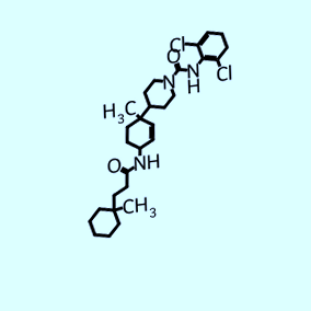 CC1(CCC(=O)NC2C=CC(C)(C3CCN(C(=O)NC4=C(Cl)CCC=C4Cl)CC3)CC2)CCCCC1